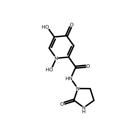 O=C(NN1CCNC1=O)c1cc(=O)c(O)cn1O